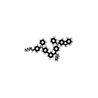 [N-]=[N+]=NCc1ccc(N(c2ccccc2)c2ccc(-c3cccc(C(N=[N+]=[N-])c4ccc(N(c5ccccc5)c5ccc6c(c5)Cc5ccccc5-6)cc4)c3)cc2)cc1